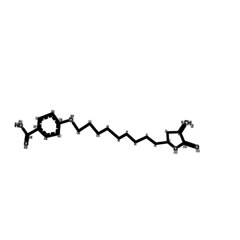 C=C1CC(CCCCCCCCCOc2ccc(C(=O)O)cc2)OC1=O